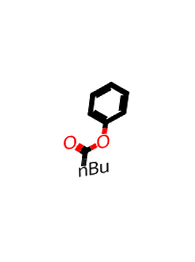 CC[CH]CC(=O)Oc1ccccc1